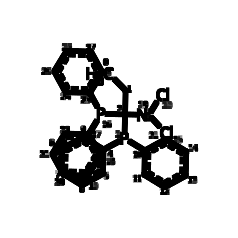 CC[C](P(c1ccccc1)c1ccccc1)(P(c1ccccc1)c1ccccc1)[Ni]([Cl])[Cl]